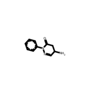 NC1C=NN(c2ccccc2)C(=O)C1